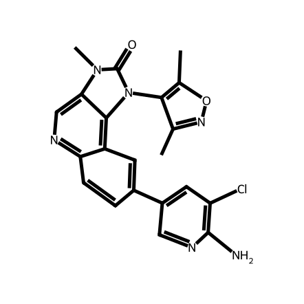 Cc1noc(C)c1-n1c(=O)n(C)c2cnc3ccc(-c4cnc(N)c(Cl)c4)cc3c21